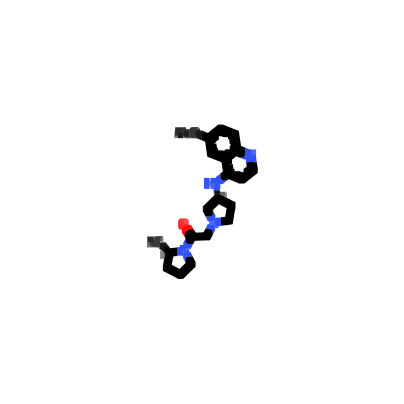 COc1ccc2nccc(N[C@@H]3CCN(CC(=O)N4CCC[C@H]4C#N)C3)c2c1